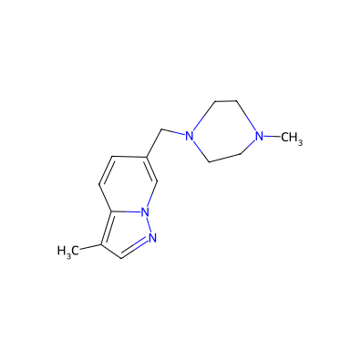 Cc1cnn2cc(CN3CCN(C)CC3)ccc12